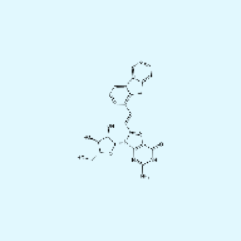 Nc1nc2c(nc(C=Cc3cccc4c3Cc3ccccc3-4)n2[C@@H]2O[C@H](CO)[C@@H](O)[C@H]2O)c(=O)[nH]1